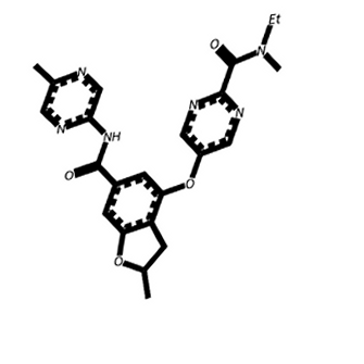 CCN(C)C(=O)c1ncc(Oc2cc(C(=O)Nc3cnc(C)cn3)cc3c2CC(C)O3)cn1